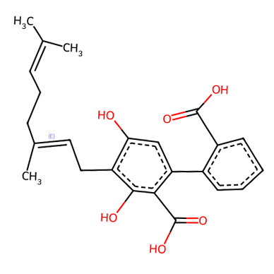 CC(C)=CCC/C(C)=C/Cc1c(O)cc(-c2ccccc2C(=O)O)c(C(=O)O)c1O